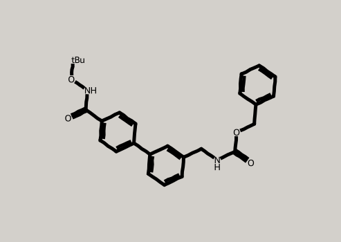 CC(C)(C)ONC(=O)c1ccc(-c2cccc(CNC(=O)OCc3ccccc3)c2)cc1